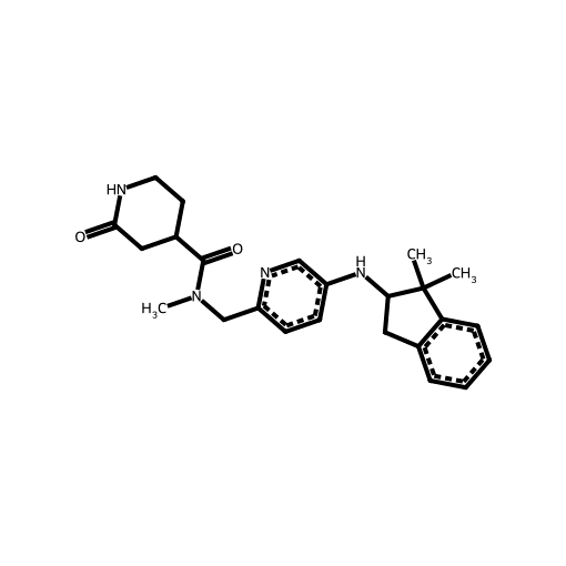 CN(Cc1ccc(NC2Cc3ccccc3C2(C)C)cn1)C(=O)C1CCNC(=O)C1